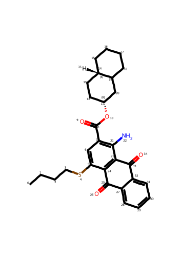 CCCCSc1cc(C(=O)O[C@@H]2CC[C@@H]3CCCCC3C2)c(N)c2c1C(=O)c1ccccc1C2=O